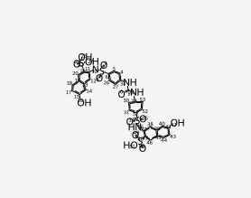 O=C(Nc1ccc(S(=O)(=O)Nc2cc3cc(O)ccc3cc2S(=O)(=O)O)cc1)Nc1ccc(S(=O)(=O)Nc2cc3cc(O)ccc3cc2S(=O)(=O)O)cc1